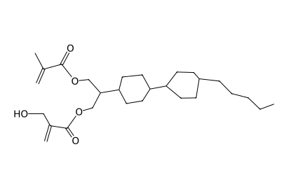 C=C(C)C(=O)OCC(COC(=O)C(=C)CO)C1CCC(C2CCC(CCCCC)CC2)CC1